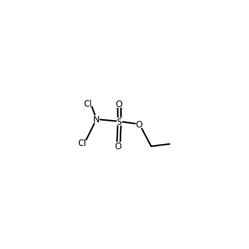 CCOS(=O)(=O)N(Cl)Cl